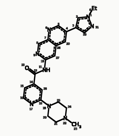 CCn1cc(-c2cnc3cnc(NC(=O)c4ccnc(N5CCN(C)CC5)c4)cc3c2)cn1